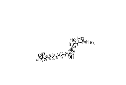 CCCCCCC(O)CCC[C@H](O)[C@H]1CC[C@H]([C@H]2CC[C@H]([C@H](O)CCCCCCCCCCCCC3=C[C@H](C)OC3=O)O2)O1